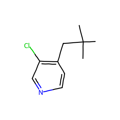 CC(C)(C)Cc1ccncc1Cl